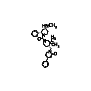 CN[C@@H]1CCN(C(=O)N2CC[C@@H](Cn3ccc(-c4ccccc4)cc3=O)C(C)(C)C2)[C@H](c2ccccc2)C1